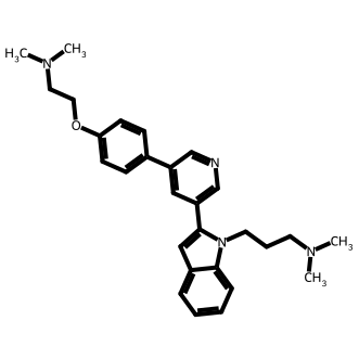 CN(C)CCCn1c(-c2cncc(-c3ccc(OCCN(C)C)cc3)c2)cc2ccccc21